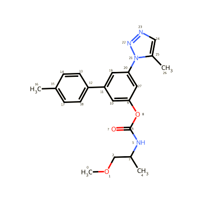 COCC(C)NC(=O)Oc1cc(-c2ccc(C)cc2)cc(-n2nncc2C)c1